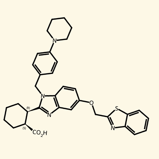 O=C(O)[C@H]1CCCC[C@H]1c1nc2cc(OCc3nc4ccccc4s3)ccc2n1Cc1ccc(N2CCCCC2)cc1